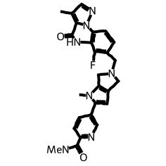 CNC(=O)c1ccc(-c2cc3c(n2C)CN(Cc2ccc4c([nH]c(=O)c5c(C)cnn54)c2F)C3)cn1